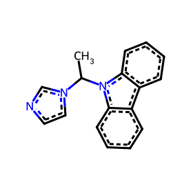 CC(n1ccnc1)n1c2ccccc2c2ccccc21